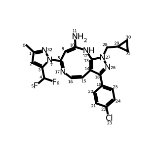 Cc1cc(C(F)F)n(-c2cc(N)[nH]c3c(ccn2)c(-c2ccc(Cl)cc2)nn3CC2CC2)n1